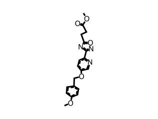 COC(=O)CCc1nc(-c2ccc(OCc3ccc(OC)cc3)cn2)no1